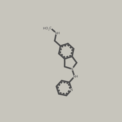 O=C(O)NCc1ccc2c(c1)CN(Nc1ccccn1)C2